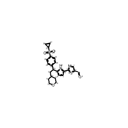 O=Cc1cnc(-c2ccc(C(CC3CCOCC3)c3ccc(S(=O)(=O)C4CC4)cc3)[nH]2)s1